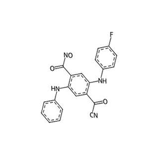 N#CC(=O)c1cc(Nc2ccccc2)c(C(=O)N=O)cc1Nc1ccc(F)cc1